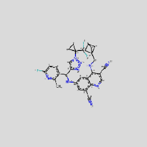 Cc1nc(F)ccc1C(Nc1cc(C#N)c2ncc(C#N)c(NCC34CC(C3)C4)c2c1)c1cn(C2(C(F)F)CC2)nn1